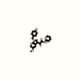 COc1cnc2c(c1)c(C(=O)C(=O)Nc1ccccn1)cn2Cc1ccc(Cl)cc1